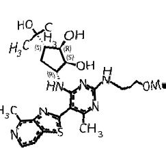 COCCNc1nc(C)c(-c2nc3c(C)nccc3s2)c(N[C@@H]2C[C@H](C(C)(C)O)[C@@H](O)[C@H]2O)n1